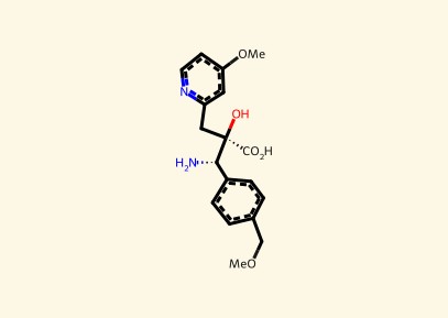 COCc1ccc([C@H](N)[C@](O)(Cc2cc(OC)ccn2)C(=O)O)cc1